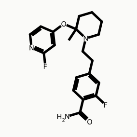 CC1(Oc2ccnc(F)c2)CCCCN1CCc1ccc(C(N)=O)c(F)c1